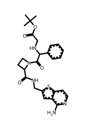 CC(C)(C)OC(=O)CNC(C(=O)N1CCC1C(=O)NCc1cc2c(N)nccc2s1)c1ccccc1